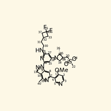 COc1ccncc1-c1cc2c(cnn2-c2cc(N3C[C@H](CS(C)(=O)=O)[C@H]3C)cc(NCCC3CC(F)(F)C3)n2)c(C)n1